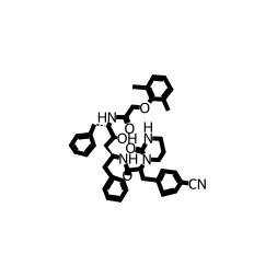 Cc1cccc(C)c1OCC(=O)N[C@@H](Cc1ccccc1)[C@@H](O)C[C@H](Cc1ccccc1)NC(=O)C(Cc1ccc(C#N)cc1)N1CCCNC1=O